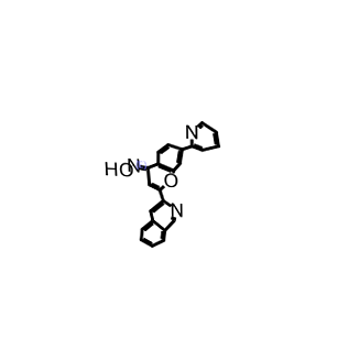 O/N=c1\cc(-c2cc3ccccc3cn2)oc2cc(-c3ccccn3)ccc12